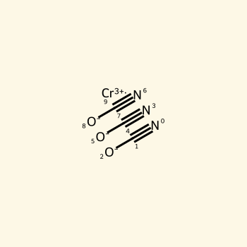 N#C[O-].N#C[O-].N#C[O-].[Cr+3]